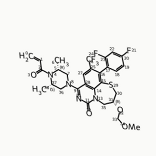 C=CC(=O)N1[C@H](C)CN(c2nc(=O)n3c4c(c(-c5ccc(F)cc5F)c(C(F)(F)F)cc24)SC[C@H](OCOC)C3)C[C@@H]1C